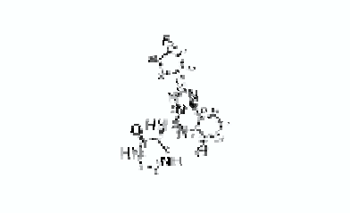 O=C1NCCNC[C@H]1Nc1nc2c(Cl)cccc2c2nc(-c3ccc(F)cc3)nn12